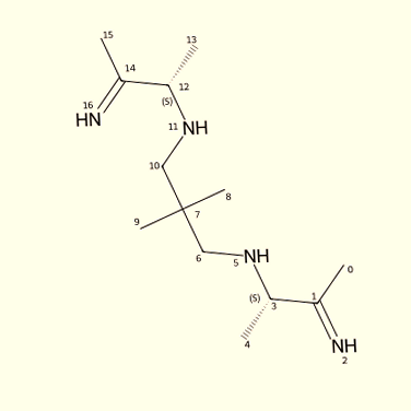 CC(=N)[C@H](C)NCC(C)(C)CN[C@@H](C)C(C)=N